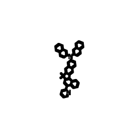 CC1(C)c2cc3cc(N(c4ccc5ccccc5c4)c4ccc5ccccc5c4)ccc3cc2-c2c1cc(-c1ccccn1)c1ccccc21